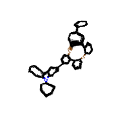 C1=CC(n2c3ccccc3c3cc(-c4ccc5c(c4)-c4ccccc4Sc4ccccc4-c4cc(-c6ccccc6)ccc4S5)ccc32)=CCC1